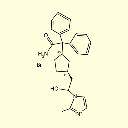 CC1=[N+]C=CN1C(O)C[C@H]1CC[C@@H](C(C(N)=O)(c2ccccc2)c2ccccc2)C1.[Br-]